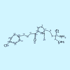 CCC(N)(CO)CCc1ccc(C(=O)CCCc2ccc(Cl)cc2)n1C